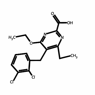 CCOc1nc(C(=O)O)nc(CC)c1Cc1cccc(Cl)c1Cl